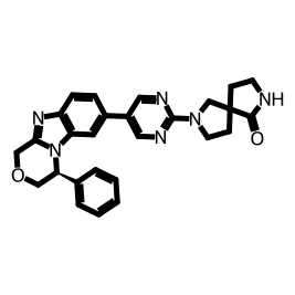 O=C1NCCC12CCN(c1ncc(-c3ccc4nc5n(c4c3)[C@@H](c3ccccc3)COC5)cn1)C2